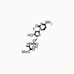 COC(=O)C(C)NP(=O)(O)OC[C@H]1SC(n2ccc(N)nc2=O)[C@@H](F)[C@@H]1O